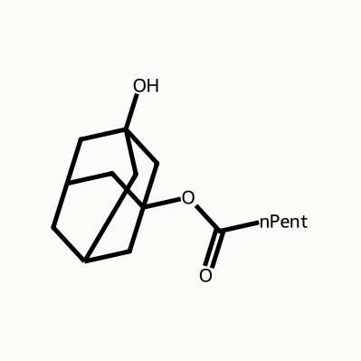 CCCCCC(=O)OC12CC3CC(CC(O)(C3)C1)C2